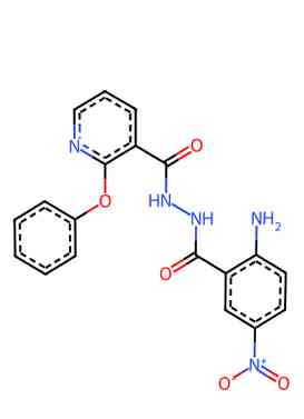 Nc1ccc([N+](=O)[O-])cc1C(=O)NNC(=O)c1cccnc1Oc1ccccc1